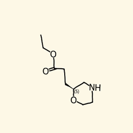 CCOC(=O)CC[C@H]1CNCCO1